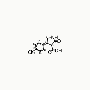 O=C(O)C1C(=O)NCC1c1ccc(Cl)cc1